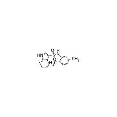 Cc1ccc(C)c(NS(=O)(=O)c2c[nH]c3ncccc23)c1